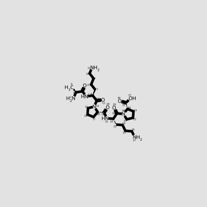 C[C@H](N)C(=O)N[C@@H](CCCCN)C(=O)N1CCC[C@H]1C(=O)N[C@@H](CCCCN)C(=O)N1CCC[C@H]1C(=O)O